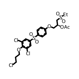 CCS(=O)(=O)C[C@H](COc1ccc(S(=O)(=O)c2cc(Cl)c(OCCCCl)c(Cl)c2)cc1)OC(C)=O